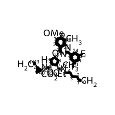 C=CCCCCN(C)C(=O)[C@@H]1C[C@H](Oc2nc(-c3cc(F)cc(F)c3)nc3c(C)c(OC)ccc23)C[C@H]1C(=O)N[C@]1(C(=O)OCC)C[C@H]1C=C